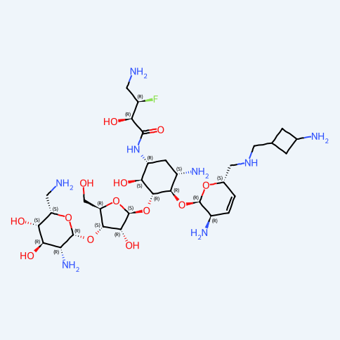 NC[C@@H](F)[C@H](O)C(=O)N[C@@H]1C[C@H](N)[C@@H](O[C@H]2O[C@H](CNCC3CC(N)C3)C=C[C@H]2N)[C@H](O[C@@H]2O[C@H](CO)[C@@H](O[C@H]3O[C@@H](CN)[C@@H](O)[C@H](O)[C@H]3N)[C@H]2O)[C@H]1O